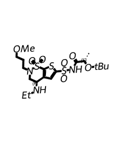 CCN[C@H]1CN(CCCOC)S(=O)(=O)c2sc(S(=O)(=O)NC(=O)[C@H](C)OC(C)(C)C)cc21